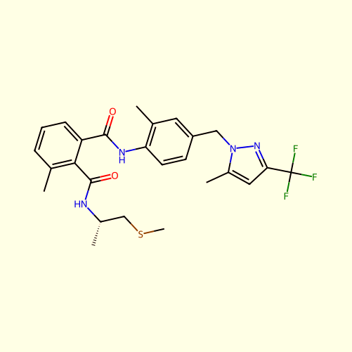 CSC[C@H](C)NC(=O)c1c(C)cccc1C(=O)Nc1ccc(Cn2nc(C(F)(F)F)cc2C)cc1C